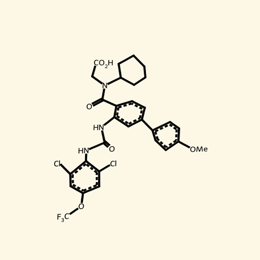 COc1ccc(-c2ccc(C(=O)N(CC(=O)O)C3CCCCC3)c(NC(=O)Nc3c(Cl)cc(OC(F)(F)F)cc3Cl)c2)cc1